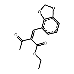 CCOC(=O)/C(=C\c1cccc2c1OCO2)C(C)=O